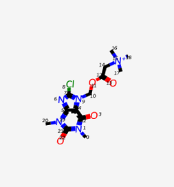 Cn1c(=O)c2c(nc(Cl)n2COC(=O)C[N+](C)(C)C)n(C)c1=O